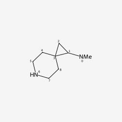 CNC1CC12CCNCC2